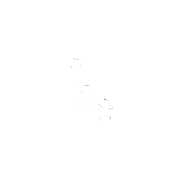 C[C@]12CN(C(=O)OCc3ccccc3)[C@@]13CN(c1ncnc4[nH]ccc14)CC32